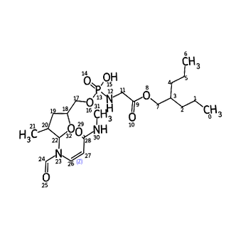 CCCC(CCC)COC(=O)CNP(=O)(O)OCC1CC(C)C(N(C=O)/C=C\C(=O)NC)O1